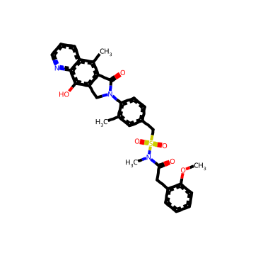 COc1ccccc1CC(=O)N(C)S(=O)(=O)Cc1ccc(N2Cc3c(c(C)c4cccnc4c3O)C2=O)c(C)c1